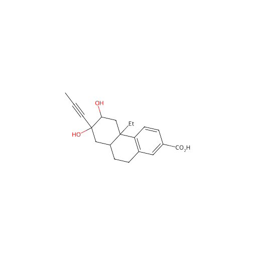 CC#CC1(O)CC2CCc3cc(C(=O)O)ccc3C2(CC)CC1O